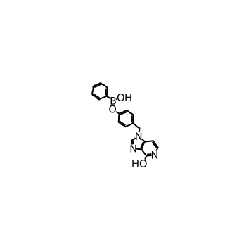 OB(Oc1ccc(Cn2cnc3c(O)nccc32)cc1)c1ccccc1